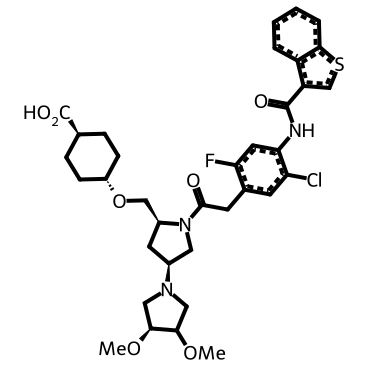 COC1CN([C@H]2C[C@@H](CO[C@H]3CC[C@H](C(=O)O)CC3)N(C(=O)Cc3cc(Cl)c(NC(=O)c4csc5ccccc45)cc3F)C2)C[C@@H]1OC